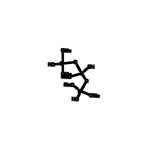 CO[Si](O)(OC)O[Si](O)(OC)O[Si](O)(OC)OC